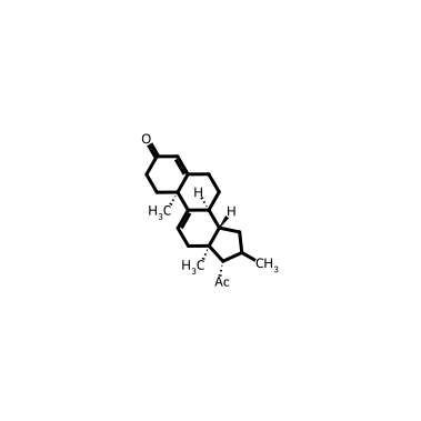 CC(=O)[C@H]1C(C)C[C@H]2[C@@H]3CCC4=CC(=O)CC[C@]4(C)C3=CC[C@]12C